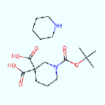 C1CCNCC1.CC(C)(C)OC(=O)N1CCCC(C(=O)O)(C(=O)O)C1